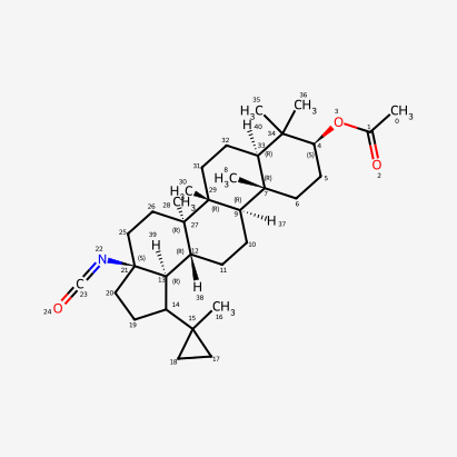 CC(=O)O[C@H]1CC[C@]2(C)[C@H]3CC[C@@H]4[C@H]5C(C6(C)CC6)CC[C@]5(N=C=O)CC[C@@]4(C)[C@]3(C)CC[C@H]2C1(C)C